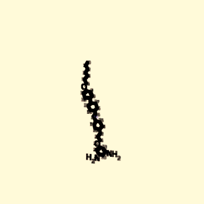 CCCCCCCOc1ccc(C2CCC(/C=C/C3CCC(CCCOc4cc(N)cc(N)c4)CC3)CC2)cc1